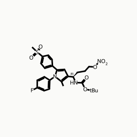 Cc1c([C@@H](CCCO[N+](=O)[O-])NC(=O)OC(C)(C)C)cc(-c2ccc(S(C)(=O)=O)cc2)n1-c1ccc(F)cc1